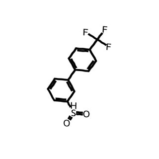 O=[SH](=O)c1cccc(-c2ccc(C(F)(F)F)cc2)c1